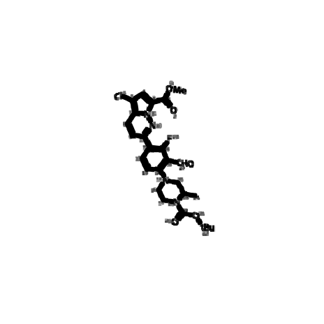 COC(=O)c1cc(Cl)c2ccc(-c3ccc(N4CCN(C(=O)OC(C)(C)C)C(C)C4)c(C=O)c3F)nn12